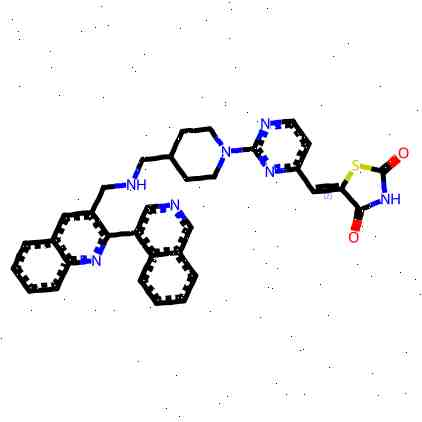 O=C1NC(=O)/C(=C/c2ccnc(N3CCC(CNCc4cc5ccccc5nc4-c4cncc5ccccc45)CC3)n2)S1